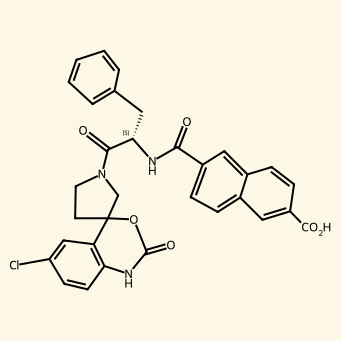 O=C1Nc2ccc(Cl)cc2C2(CCN(C(=O)[C@H](Cc3ccccc3)NC(=O)c3ccc4cc(C(=O)O)ccc4c3)C2)O1